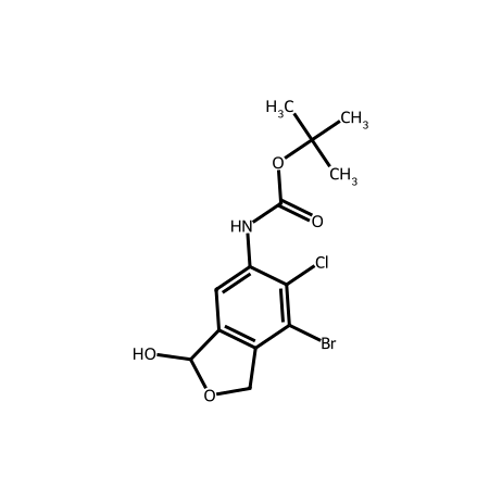 CC(C)(C)OC(=O)Nc1cc2c(c(Br)c1Cl)COC2O